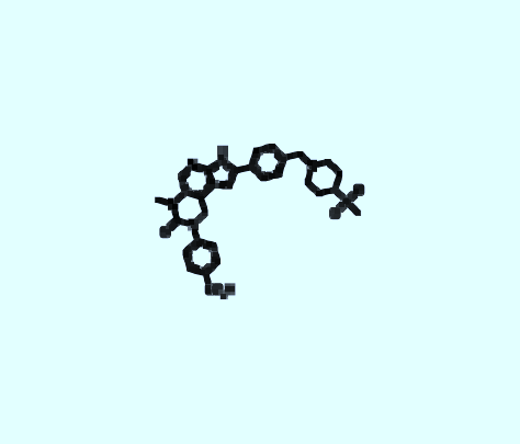 CN1C(=O)N(c2ccc(C(=O)O)cc2)Cc2c1cnc1[nH]c(-c3ccc(CN4CCC(S(C)(=O)=O)CC4)cc3)cc21